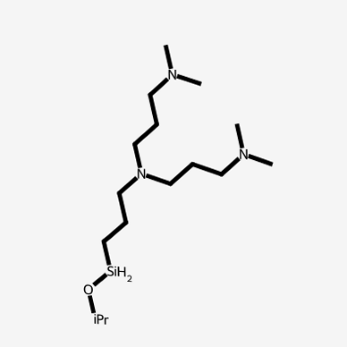 CC(C)O[SiH2]CCCN(CCCN(C)C)CCCN(C)C